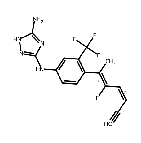 C#C/C=C\C(F)=C(/C)c1ccc(Nc2n[nH]c(N)n2)cc1C(F)(F)F